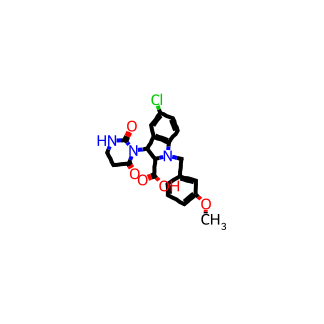 COc1cccc(CN2c3ccc(Cl)cc3C(N3C(=O)CCNC3=O)C2C(=O)O)c1